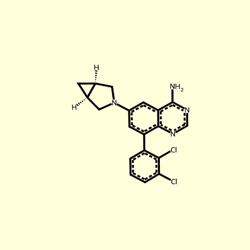 Nc1ncnc2c(-c3cccc(Cl)c3Cl)cc(N3C[C@H]4C[C@H]4C3)cc12